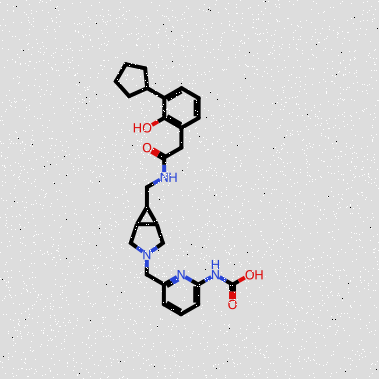 O=C(O)Nc1cccc(CN2CC3C(CNC(=O)Cc4cccc(C5CCCC5)c4O)C3C2)n1